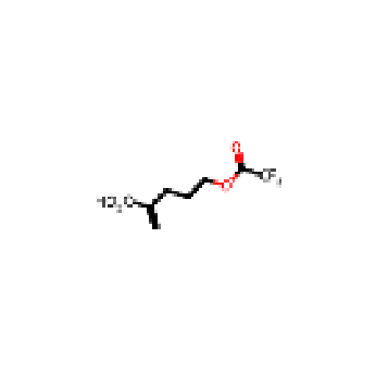 C=C(CCCOC(=O)C(F)(F)F)C(=O)O